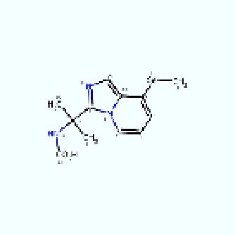 C[Se]c1cccn2c(C(C)(C)NC(=O)O)ncc12